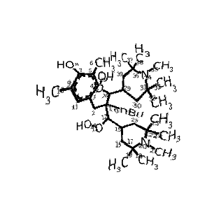 CCCCC(Cc1cc(C)c(O)c(C)c1)(C(OO)C1CC(C)(C)N(C)C(C)(C)C1)C(OO)C1CC(C)(C)N(C)C(C)(C)C1